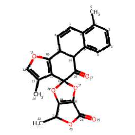 Cc1cccc2c1C=CC1c3occ(C)c3C3(OC4=C(O3)C(C)OC4=O)C(=O)C21